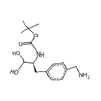 CC(C)(C)OC(=O)N[C@@H](Cc1ccc(CN)cc1)C(O)O